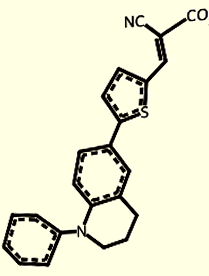 N#C/C(=C\c1ccc(-c2ccc3c(c2)CCCN3c2ccccc2)s1)C(=O)O